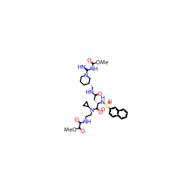 COC(=O)NC(=N)N1CCC[C@@H](CNC(=O)C[C@H](NS(=O)(=O)c2ccc3ccccc3c2)C(=O)N(CCNC(=O)C(=O)OC)C2CC2)C1